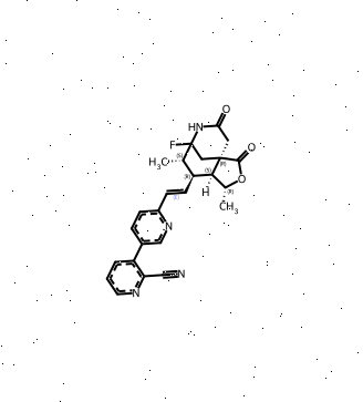 C[C@H]1OC(=O)[C@]23CC(=O)NC(F)(C2)[C@@H](C)[C@H](/C=C/c2ccc(-c4cccnc4C#N)cn2)[C@H]13